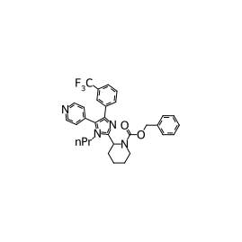 CCCn1c(C2CCCCN2C(=O)OCc2ccccc2)nc(-c2cccc(C(F)(F)F)c2)c1-c1ccncc1